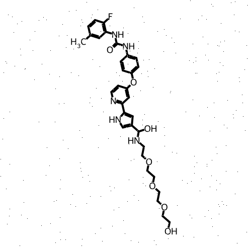 Cc1ccc(F)c(NC(=O)Nc2ccc(Oc3ccnc(-c4cc(C(O)NCCOCCOCCOCCO)c[nH]4)c3)cc2)c1